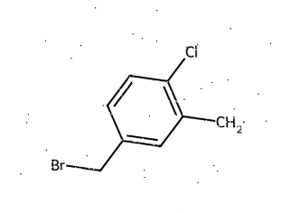 [CH2]c1cc(CBr)ccc1Cl